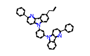 C=CCc1ccc2c(c1)c1nc(-c3ccccc3)ccc1n2-c1cccc(-n2c3ccccc3c3nc(-c4ccccc4)ccc32)c1